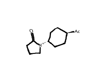 CC(=O)[C@H]1CC[C@H](N2CCCC2=O)CC1